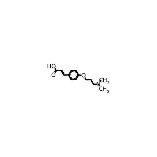 CN(C)CCCOc1ccc(/C=C/C(=O)O)cc1